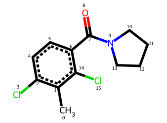 Cc1c(Cl)ccc(C(=O)N2CCCC2)c1Cl